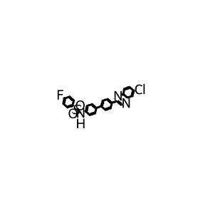 O=S(=O)(Nc1ccc(-c2ccc(-c3cnc4cc(Cl)ccc4n3)cc2)cc1)c1ccc(F)cc1